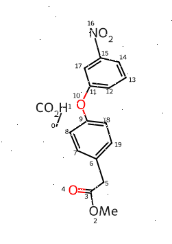 CC(=O)O.COC(=O)Cc1ccc(Oc2cccc([N+](=O)[O-])c2)cc1